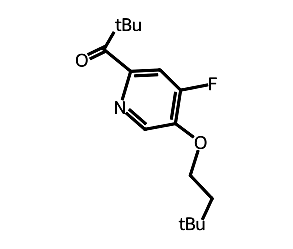 CC(C)(C)CCOc1cnc(C(=O)C(C)(C)C)cc1F